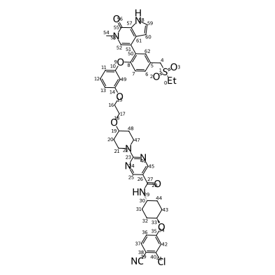 CCS(=O)(=O)Cc1ccc(Oc2cccc(OCCOC3CCN(c4ncc(C(=O)N[C@H]5CC[C@H](Oc6ccc(C#N)c(Cl)c6)CC5)cn4)CC3)c2)c(-c2cn(C)c(=O)c3[nH]ccc23)c1